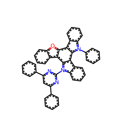 c1ccc(-c2cc(-c3ccccc3)nc(-n3c4ccccc4c4c5c(c6ccccc6n5-c5ccccc5)c5oc6ccccc6c5c43)n2)cc1